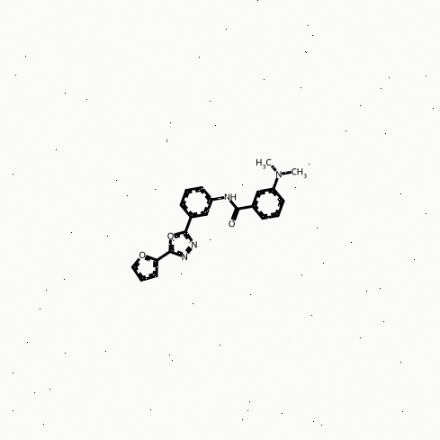 CN(C)c1cccc(C(=O)Nc2cccc(-c3nnc(-c4ccco4)o3)c2)c1